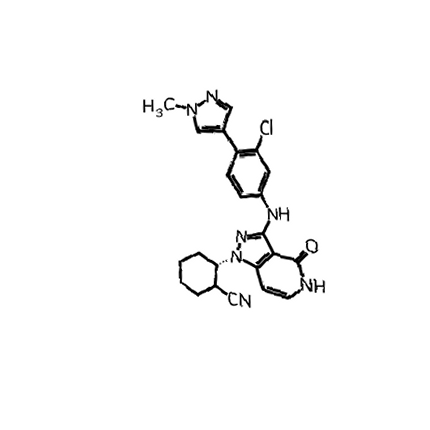 Cn1cc(-c2ccc(Nc3nn([C@H]4CCCCC4C#N)c4cc[nH]c(=O)c34)cc2Cl)cn1